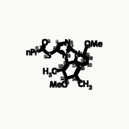 CCCC(=O)Sc1cnc2n1C1=C(C)C(OC)C(C)=CC13C=CC=C(OC)N23